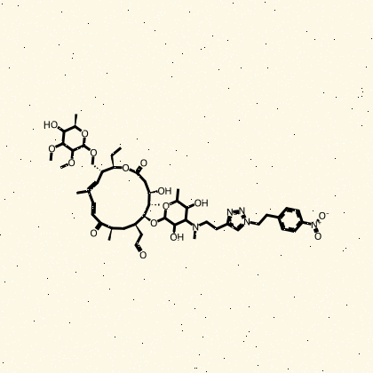 CC[C@H]1OC(=O)C[C@@H](O)[C@H](C)[C@@H](OC2OC(C)C(O)C(N(C)CCc3cn(CCc4ccc([N+](=O)[O-])cc4)nn3)C2O)[C@@H](CC=O)C[C@@H](C)C(=O)/C=C/C(C)=C/[C@@H]1COC1O[C@H](C)C(O)C(OC)C1OC